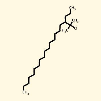 CCCCCCCCCCCCCCCCC(CCC)C(C)(C)Cl